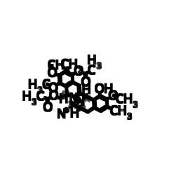 COc1c(C)cc2c(c1O)[C@H]1C3=Cc4c(OC(C)=O)c(C)c(OC)c(OC)c4[C@H](COC(C)=O)N3[C@@H](C#N)[C@H](C2)N1C